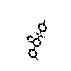 Cc1ccc(S(=O)(=O)c2cnc(-c3cccc(F)c3)c3nccn23)cc1